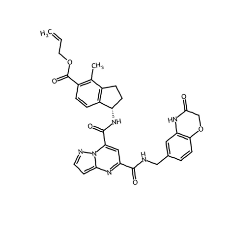 C=CCOC(=O)c1ccc2c(c1C)CC[C@@H]2NC(=O)c1cc(C(=O)NCc2ccc3c(c2)NC(=O)CO3)nc2ccnn12